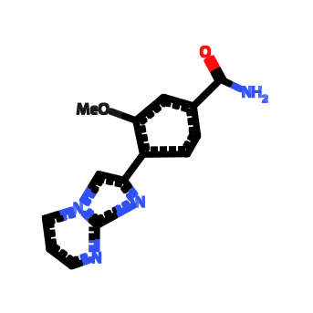 COc1cc(C(N)=O)ccc1-c1cn2cccnc2n1